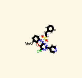 COc1ccccc1Oc1c(Cl)nc(-c2ccncc2)nc1NS(=O)(=O)/C=C/c1ccccc1